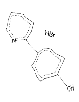 Br.Oc1ccc(-c2ccccn2)cc1